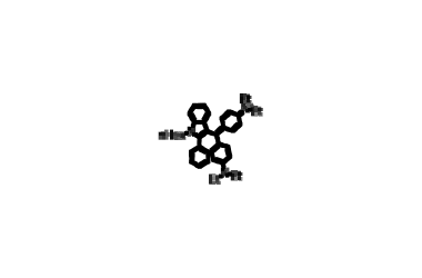 CCCCCCn1c(-c2ccccc2)c(C(=C2C=CC(=[N+](CC)CC)C=C2)c2ccc(N(CC)CC)cc2)c2ccccc21